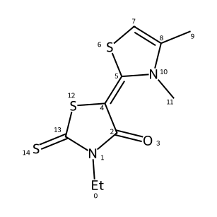 CCN1C(=O)C(=C2SC=C(C)N2C)SC1=S